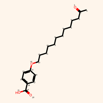 CC(=O)CCCCCCCCCCCOc1ccc(C(=O)O)cc1